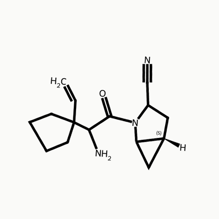 C=CC1(C(N)C(=O)N2C(C#N)C[C@@H]3CC32)CCCC1